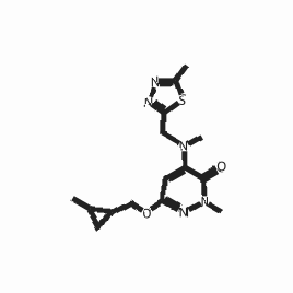 Cc1nnc(CN(C)c2cc(OCC3CC3C)nn(C)c2=O)s1